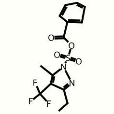 CCc1nn(S(=O)(=O)OC(=O)c2ccccc2)c(C)c1C(F)(F)F